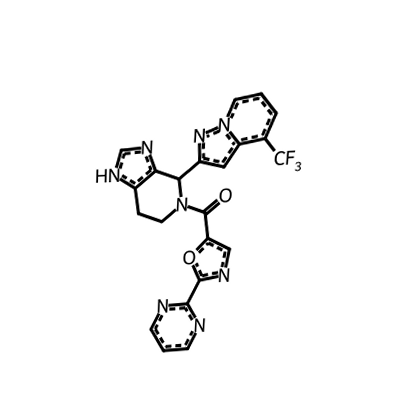 O=C(c1cnc(-c2ncccn2)o1)N1CCc2[nH]cnc2C1c1cc2c(C(F)(F)F)cccn2n1